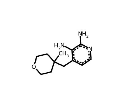 CC1(Cc2ccnc(N)c2N)CCOCC1